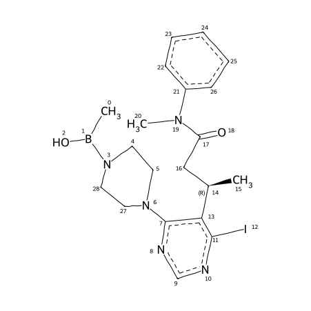 CB(O)N1CCN(c2ncnc(I)c2[C@H](C)CC(=O)N(C)c2ccccc2)CC1